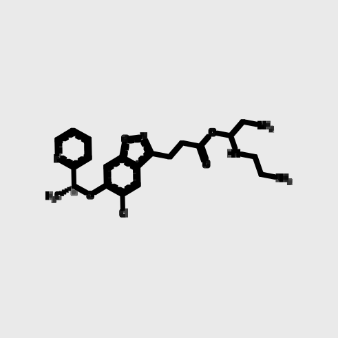 C[C@@H](Oc1cc2onc(CCC(=O)OC(CN)NCCN)c2cc1Cl)c1ccccn1